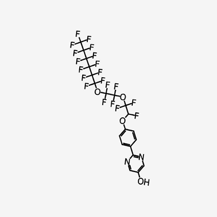 Oc1cnc(-c2ccc(OC(F)C(F)(F)OC(F)(F)C(F)(F)OC(F)(F)C(F)(F)C(F)(F)C(F)(F)C(F)(F)C(F)(F)F)cc2)nc1